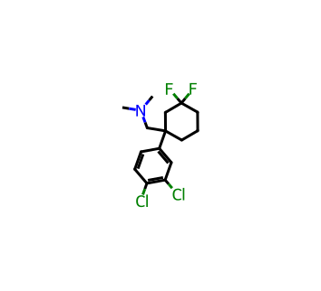 CN(C)CC1(c2ccc(Cl)c(Cl)c2)CCCC(F)(F)C1